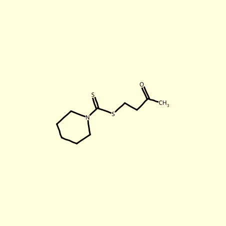 CC(=O)CCSC(=S)N1CCCCC1